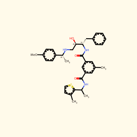 COc1ccc([C@@H](C)NC[C@@H](O)[C@H](Cc2ccccc2)NC(=O)c2cc(C)cc(C(=O)NC(C)c3sccc3C)c2)cc1